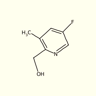 Cc1cc(F)cnc1CO